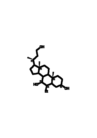 CC[C@@H]1C2C[C@H](O)CC[C@]2(C)C2CC[C@@]3(C)C(CCC3[C@H](C)CCO)C2[C@@H]1O